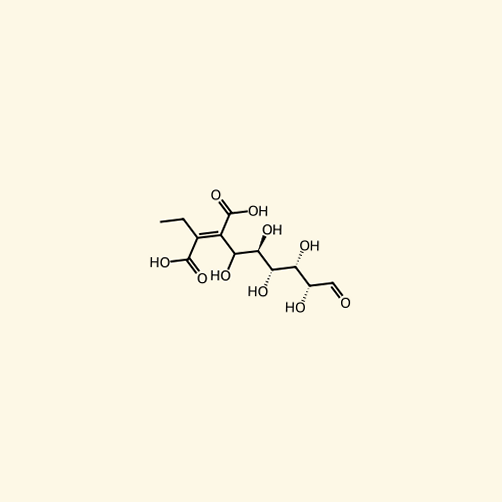 CC/C(C(=O)O)=C(\C(=O)O)C(O)[C@@H](O)[C@@H](O)[C@H](O)[C@@H](O)C=O